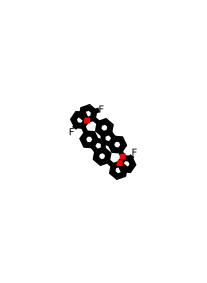 Fc1ccccc1-c1ccc2c(c1)C1(c3cc(-c4ccccc4F)ccc3-2)c2cc(-c3ccccc3F)ccc2-c2ccc(-c3ccccc3F)cc21